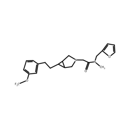 CN(Cc1ccco1)C(=O)CN1CC2C(C[CH]c3cccc(OC(F)(F)F)c3)C2C1